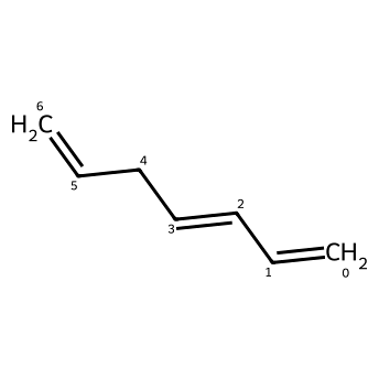 C=CC=CCC=C